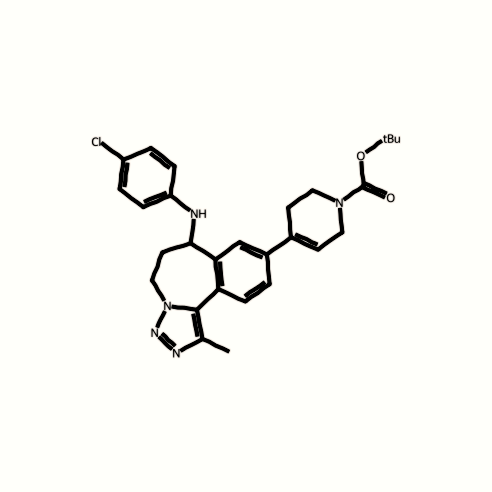 Cc1nnn2c1-c1ccc(C3=CCN(C(=O)OC(C)(C)C)CC3)cc1C(Nc1ccc(Cl)cc1)CC2